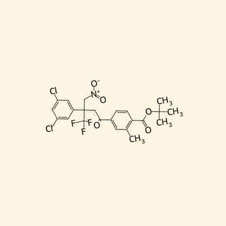 Cc1cc(C(=O)CC(C[N+](=O)[O-])(c2cc(Cl)cc(Cl)c2)C(F)(F)F)ccc1C(=O)OC(C)(C)C